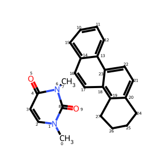 Cn1ccc(=O)n(C)c1=O.c1ccc2c(c1)ccc1c3c(ccc12)CCCC3